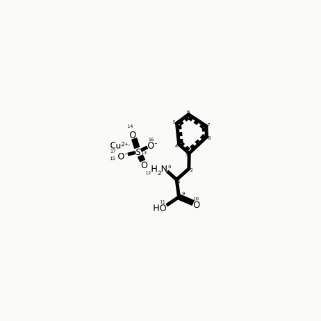 NC(Cc1ccccc1)C(=O)O.O=S(=O)([O-])[O-].[Cu+2]